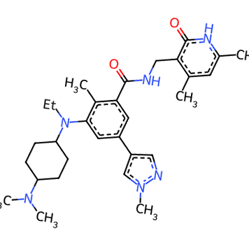 CCN(c1cc(-c2cnn(C)c2)cc(C(=O)NCc2c(C)cc(C)[nH]c2=O)c1C)C1CCC(N(C)C)CC1